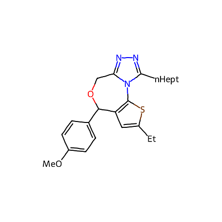 CCCCCCCc1nnc2n1-c1sc(CC)cc1C(c1ccc(OC)cc1)OC2